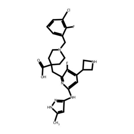 Cc1cc(Nc2cc(C3CNC3)c(F)c(CC3(C(=O)O)CCN(Cc4cccc(Cl)c4F)CC3)n2)n[nH]1